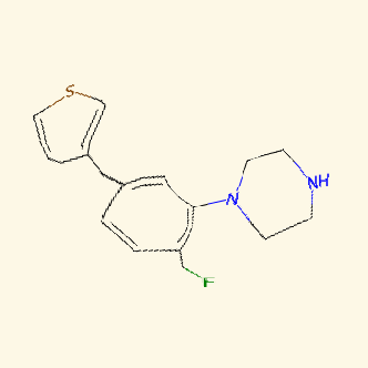 Fc1ccc(-c2ccsc2)cc1N1CCNCC1